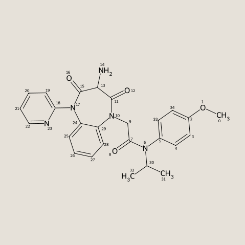 COc1ccc(N(C(=O)CN2C(=O)C(N)C(=O)N(c3ccccn3)c3ccccc32)C(C)C)cc1